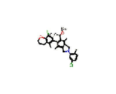 Cc1ccc(Cl)cc1N1Cc2c(C)c(-c3cc(F)c4c(c3C)CCCO4)c([C@H](OC(C)(C)C)C(=O)O)c(C)c2C1